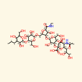 CCCC1C(O)C(CO)OC(OC2C(CO)OC(OCC3OC(C(=O)NC)C(O)C3OC3OC(CO)C(O)C(OC4(C(=O)O)C[C@@H](O)C(NC(C)=O)C(C[C@H](O)CO)O4)C3O)C(O)C2O)C1O